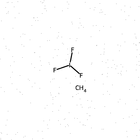 C.FI(F)F